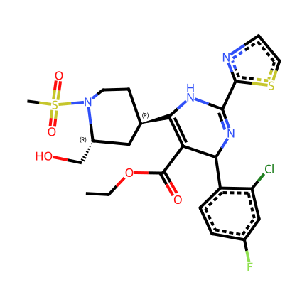 CCOC(=O)C1=C([C@@H]2CCN(S(C)(=O)=O)[C@@H](CO)C2)NC(c2nccs2)=NC1c1ccc(F)cc1Cl